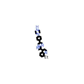 CCc1cccc2c(-c3cnn4cc(-c5ccc(N6CCNCC6)cc5)cnc34)ccnc12